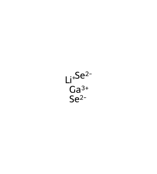 [Ga+3].[Li+].[Se-2].[Se-2]